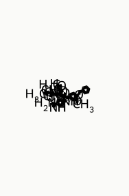 COc1cc([C@H](Nc2ccc(C(=N)N)cc2)C(=O)N[C@@H](CNC(=O)OC(C)(C)C)C(=O)OC(C)=O)ccc1OCc1ccccc1